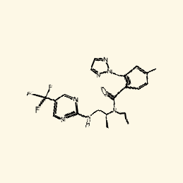 CCN(C(=O)c1ccc(C)cc1-n1nccn1)[C@@H](C)CNc1ncc(C(F)(F)F)cn1